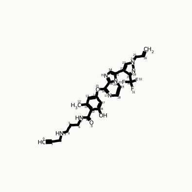 C#CCNCCCNC(=O)c1c(C)cc(Oc2nccn3c(-c4cn(CC=C)nc4C(F)(F)F)cnc23)cc1O